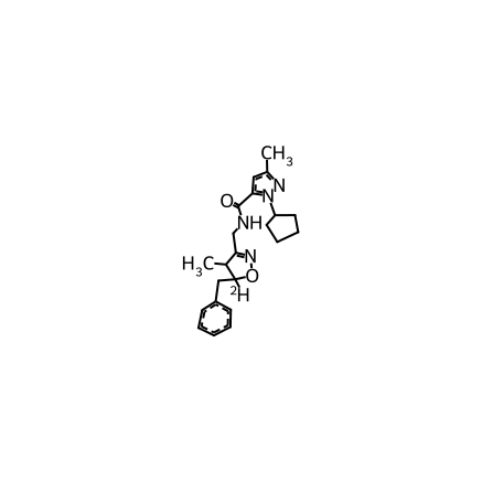 [2H]C1(Cc2ccccc2)ON=C(CNC(=O)c2cc(C)nn2C2CCCC2)C1C